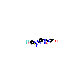 Cn1c(Nc2nc3ccc(OC(F)(F)F)cc3s2)nc2cc(C(=O)NCC(=O)N3CCC(CO)CC3)ccc21